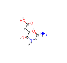 CN(CC(N)=O)C(=O)CCC(=O)O